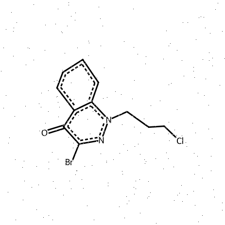 O=c1c(Br)nn(CCCCl)c2ccccc12